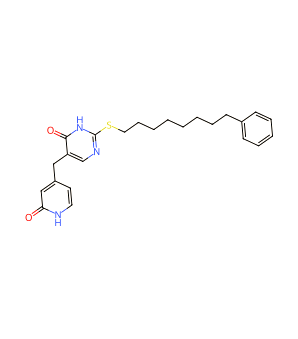 O=c1cc(Cc2cnc(SCCCCCCCCc3ccccc3)[nH]c2=O)cc[nH]1